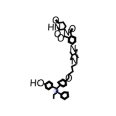 CC/C(=C(\c1ccc(O)cc1)c1ccc(OCCCCN2CC3CN(c4ccc5c(c4)C(=O)N(C4CCC(=O)NC4=O)C5=O)CC3C2)cc1)c1ccccc1